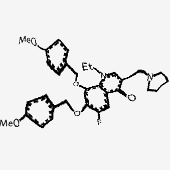 CCn1cc(CN2CCCC2)c(=O)c2cc(F)c(OCc3ccc(OC)cc3)c(OCc3ccc(OC)cc3)c21